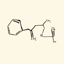 C=C(CC(C)NC(=O)O)c1ccccc1